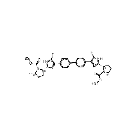 C[C@H]1CC[C@@H](c2nc(-c3ccc(-c4ccc(-c5nc([C@@H]6CC[C@H](C)N6C(=O)OC(C)(C)C)[nH]c5F)cc4)cc3)c(F)[nH]2)N1C(=O)OC(C)(C)C